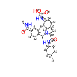 CNC(=O)c1ccc(Cn2c(C(=O)NC3CCC(C)CC3)cc3ccc(NC(=O)O)cc32)cc1